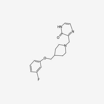 O=c1[nH]ccnc1CN1CCC(COc2cccc(F)c2)CC1